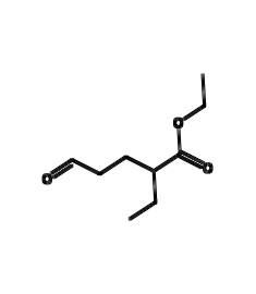 CCOC(=O)C(CC)CCC=O